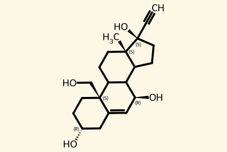 C#C[C@]1(O)CCC2C3C(CC[C@@]21C)[C@@]1(CO)CC[C@@H](O)CC1=C[C@@H]3O